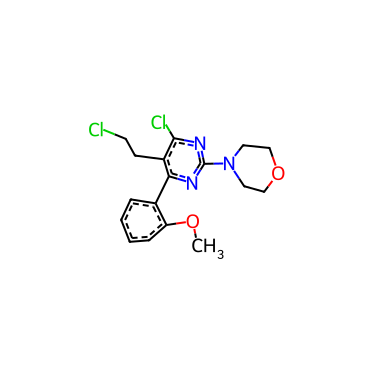 COc1ccccc1-c1nc(N2CCOCC2)nc(Cl)c1CCCl